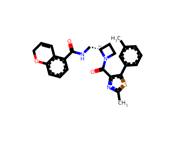 Cc1cccc(-c2sc(C)nc2C(=O)N2CC[C@H]2CNC(=O)c2cccc3c2C=CCO3)c1